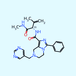 C=C(C)[C@H](NC(=O)c1nc(-c2ccccc2)n2c1CN(Cc1cncnc1)CC2)C(=O)NC